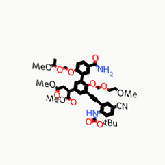 COCCOCOc1c(C#Cc2cc(C#N)ccc2NC(=O)OC(C)(C)C)cc(C(CC(=O)OC)C(=O)OC)cc1-c1cc(C(N)=O)ccc1OCOC(C)OC